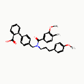 COc1ccc(CCCN(Cc2ccc(-c3ccccc3C(=O)O)cc2)C(=O)c2ccc(C)c(OC)c2)cc1